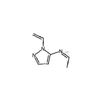 C=Cn1nccc1/N=C\C